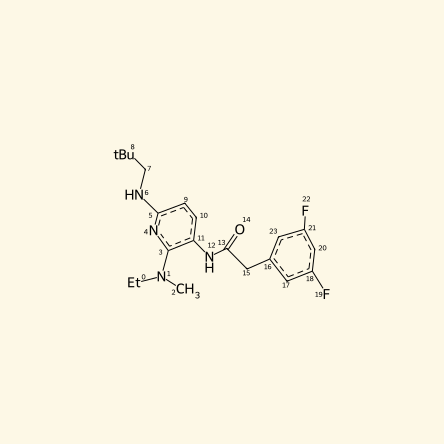 CCN(C)c1nc(NCC(C)(C)C)ccc1NC(=O)Cc1cc(F)cc(F)c1